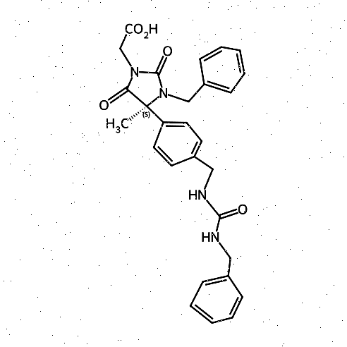 C[C@]1(c2ccc(CNC(=O)NCc3ccccc3)cc2)C(=O)N(CC(=O)O)C(=O)N1Cc1ccccc1